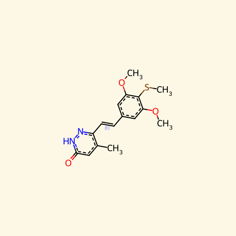 COc1cc(/C=C/c2n[nH]c(=O)cc2C)cc(OC)c1SC